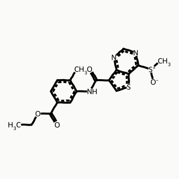 CCOC(=O)c1ccc(C)c(NC(=O)c2csc3c([S+](C)[O-])ncnc23)c1